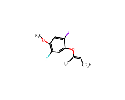 C/C(=C\C(=O)O)Oc1cc(F)c(OC(F)(F)F)cc1I